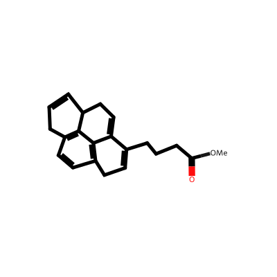 COC(=O)CCCC1=CCc2ccc3c4c2C1=CCC4C=CC3